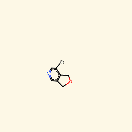 CCc1cncc2c1COC2